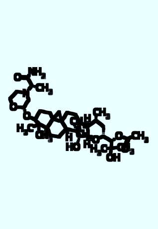 CC(=O)O[C@@H]([C@H]1C[C@@H](C)[C@H]2[C@H](O1)[C@H](O)[C@@]1(C)[C@@H]3CC[C@H]4C(C)(C)C(O[C@H]5CN([C@@H](C)C(N)=O)CCO5)CCC45C[C@@]35CC[C@]21C)C(C)(C)O